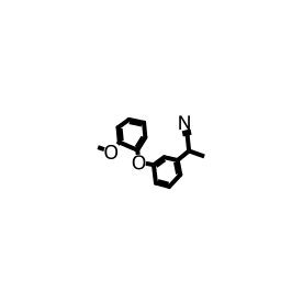 COc1ccccc1Oc1cccc(C(C)C#N)c1